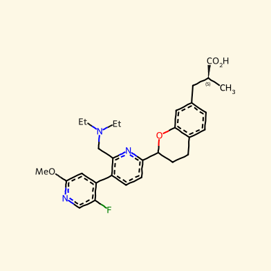 CCN(CC)Cc1nc(C2CCc3ccc(C[C@H](C)C(=O)O)cc3O2)ccc1-c1cc(OC)ncc1F